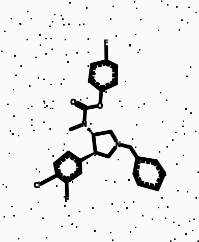 CN(C(=O)Oc1ccc(F)cc1)[C@@H]1CN(Cc2ccccc2)C[C@H]1c1ccc(Cl)c(F)c1